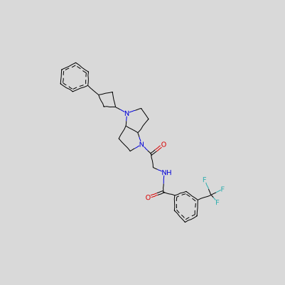 O=C(NCC(=O)N1CCC2C1CCN2C1CC(c2ccccc2)C1)c1cccc(C(F)(F)F)c1